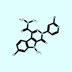 CN(C)C(=O)c1nn(-c2ccnc(Br)c2)c(=O)c2c1c1ccc(Cl)cc1n2C